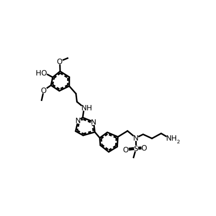 COc1cc(CCNc2nccc(-c3cccc(CN(CCCN)S(C)(=O)=O)c3)n2)cc(OC)c1O